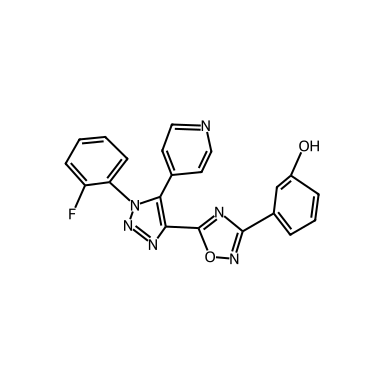 Oc1cccc(-c2noc(-c3nnn(-c4ccccc4F)c3-c3ccncc3)n2)c1